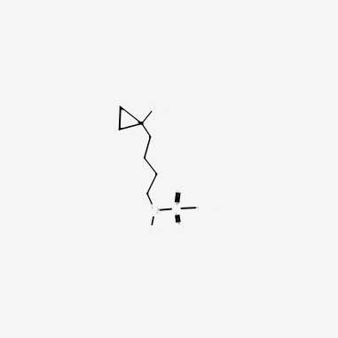 CC(C)(C)N(CCCCC1(C(C)(C)C)CC1)S(C)(=O)=O